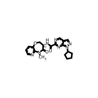 CN1C(=O)[C@@H](NC(=O)c2ncc3cnn(C4CCCC4)c3n2)COc2cccnc21